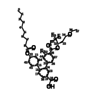 CCCCCCCCCC(=O)Oc1ccc(-c2ccc(C(=O)O)cc2-c2ccc(C(=O)O[C@H](CCOCC)C(F)(F)F)c(F)c2)cc1